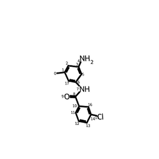 Cc1cc(N)cc(NC(=O)c2cccc(Cl)c2)c1